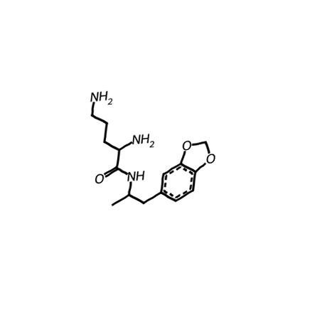 CC(Cc1ccc2c(c1)OCO2)NC(=O)C(N)CCCN